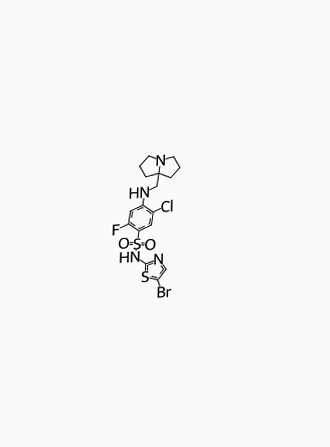 O=S(=O)(Nc1ncc(Br)s1)c1cc(Cl)c(NCC23CCCN2CCC3)cc1F